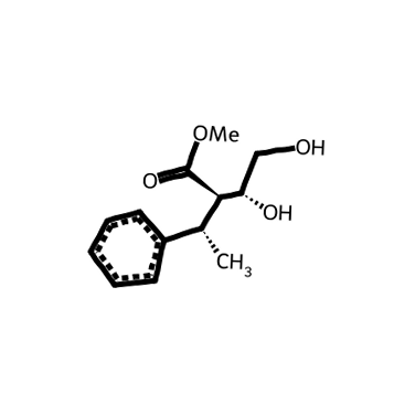 COC(=O)[C@H]([C@H](C)c1ccccc1)[C@@H](O)CO